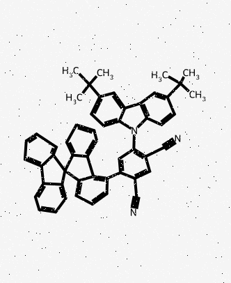 CC(C)(C)c1ccc2c(c1)c1cc(C(C)(C)C)ccc1n2-c1cc(-c2cccc3c2-c2ccccc2C32c3ccccc3-c3ccccc32)c(C#N)cc1C#N